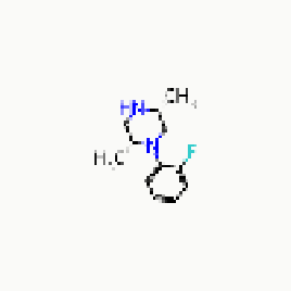 C[C@@H]1CN(c2ccccc2F)[C@H](C)CN1